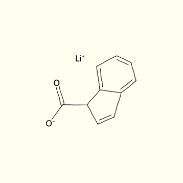 O=C([O-])C1C=Cc2ccccc21.[Li+]